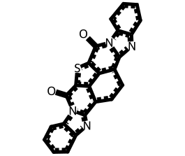 O=c1c2sc3c(=O)n4c5ccccc5nc4c4ccc(c2c34)c2nc3ccccc3n12